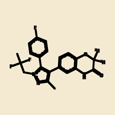 [2H]C1([2H])Oc2ccc(-c3c(C)nn(CC(C)(F)F)c3-c3ccc(F)cc3)cc2NC1=O